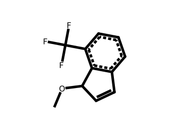 COC1C=Cc2cccc(C(F)(F)F)c21